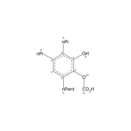 CCCCCc1cc(CCC)c(CCC)c(O)c1OC(=O)O